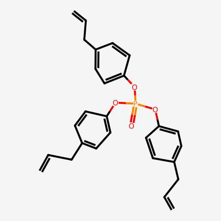 C=CCc1ccc(OP(=O)(Oc2ccc(CC=C)cc2)Oc2ccc(CC=C)cc2)cc1